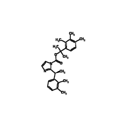 Cc1cccc([C@H](C)c2nccn2C(=O)OC(C)(C)c2ccc(C)c(C)c2C)c1C